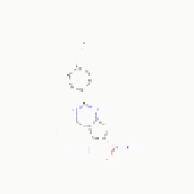 CCCc1ccc(-c2nc(C)c3c(N)c(C(N)=O)sc3n2)cc1